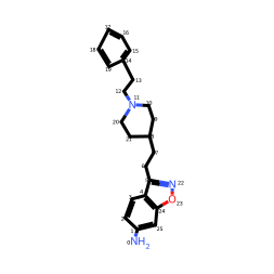 Nc1ccc2c(CCC3CCN(CCc4ccccc4)CC3)noc2c1